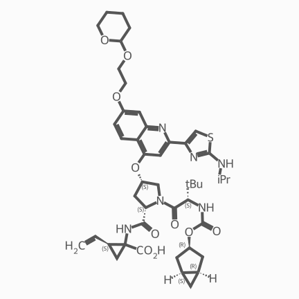 C=C[C@@H]1CC1(NC(=O)[C@@H]1C[C@H](Oc2cc(-c3csc(NC(C)C)n3)nc3cc(OCCOC4CCCCO4)ccc23)CN1C(=O)[C@@H](NC(=O)O[C@@H]1C[C@@H]2C[C@@H]2C1)C(C)(C)C)C(=O)O